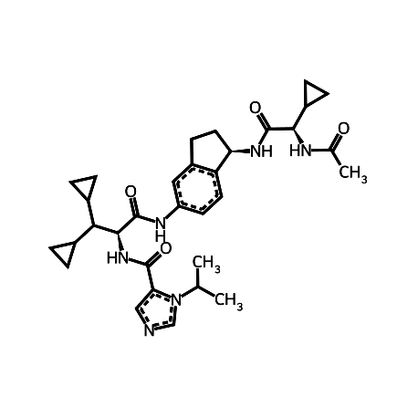 CC(=O)N[C@@H](C(=O)N[C@@H]1CCc2cc(NC(=O)[C@@H](NC(=O)c3cncn3C(C)C)C(C3CC3)C3CC3)ccc21)C1CC1